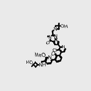 COc1nc(-c2cccc(-c3ccnc(-c4cc5c(=O)n(C)c(CN6CC(C)(O)C6)nn5c4)c3Cl)c2Cl)ccc1CNC1CC(C)(O)C1